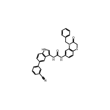 N#Cc1cccc(-c2ccc3[nH]cc(NC(=O)Nc4ccc5c(c4)N(Cc4ccccc4)C(=O)CS5)c3c2)c1